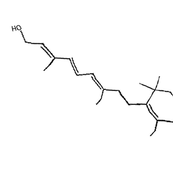 CC1=C(CC/C(C)=C/C=C/C(C)=C/CO)C(C)(C)CCC1